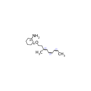 C\C=C/C=C\C=C(/C)CCO[C@@H]1CCCC[C@H]1N